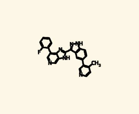 Cc1ccncc1-c1ccc2[nH]nc(-c3nc4c(-c5ccccc5F)cncc4[nH]3)c2c1